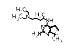 CCN(CC)CCCC(C)Nc1nc(N)nc2c(C)cccc12